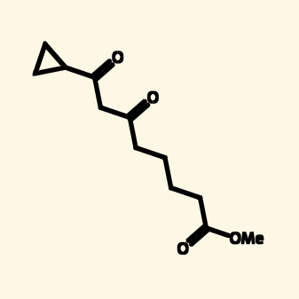 COC(=O)CCCCC(=O)CC(=O)C1CC1